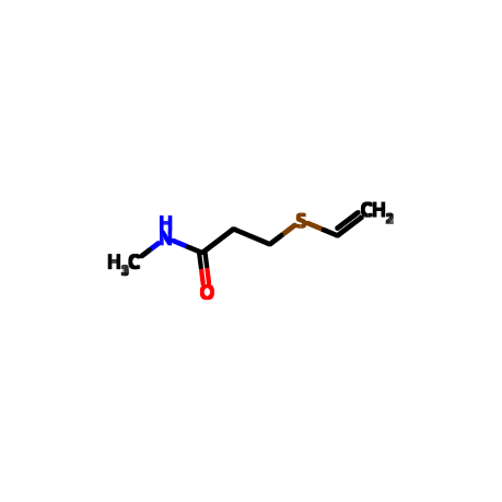 C=CSCCC(=O)NC